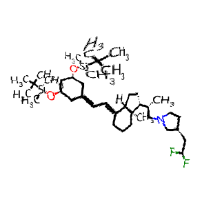 C[C@H](CN1CC[C@@H](CC(F)F)C1)[C@H]1CC[C@H]2/C(=C/C=C3C[C@@H](O[Si](C)(C)C(C)(C)C)C[C@H](O[Si](C)(C)C(C)(C)C)C3)CCC[C@]12C